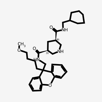 COCCCCC1(CNC(=O)[C@@H]2CNC[C@H](C(=O)NCC3CCCCC3)C2)c2ccccc2Oc2ccccc21